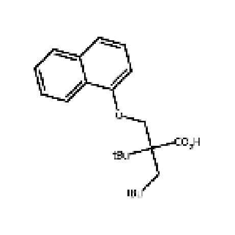 CC(C)(C)CC(COc1cccc2ccccc12)(C(=O)O)C(C)(C)C